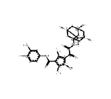 Cc1cc(NC(=O)c2c(C)c(C(=O)C(=O)N[C@]34C[C@@H]5C[C@H](C3)[C@@H](O)[C@@H](C5)C4)n(C)c2C)ccc1F